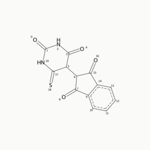 O=C1NC(=O)C(C2C(=O)c3ccccc3C2=O)C(=S)N1